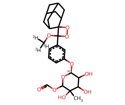 [2H]C([2H])([2H])OC1(c2cccc(O[C@@H]3OC(OC=O)C(C)(O)C(O)C3O)c2)OOC12C1CC3CC(C1)CC2C3